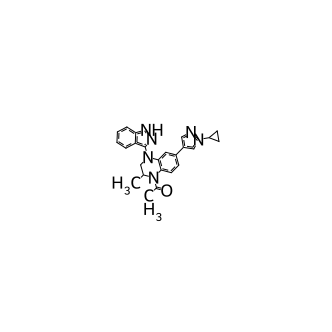 CC(=O)N1c2ccc(-c3cnn(C4CC4)c3)cc2N(c2n[nH]c3ccccc23)CC1C